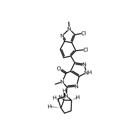 Cn1nc2ccc(-c3n[nH]c4nc(N5C[C@@H]6CC[C@H]5[C@H]6N)n(C)c(=O)c34)c(Cl)c2c1Cl